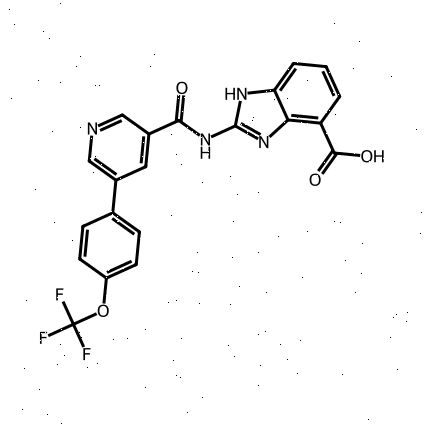 O=C(Nc1nc2c(C(=O)O)cccc2[nH]1)c1cncc(-c2ccc(OC(F)(F)F)cc2)c1